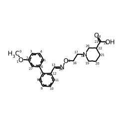 COc1cccc(-c2ccccc2C=NOCCN2CCCC(C(=O)O)C2)c1